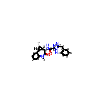 C[C@H]1[C@H]2c3ccccc3N(C)C(=O)[C@@H](NC(=O)c3nnc(Cc4ccccc4)[nH]3)[C@@H]12